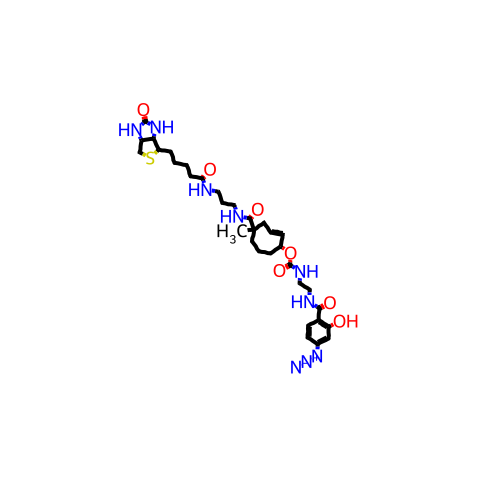 CC1(C(=O)NCCCNC(=O)CCCCC2SCC3NC(=O)NC32)C/C=C/C(OC(=O)NCCNC(=O)c2ccc(N=[N+]=[N-])cc2O)CCC1